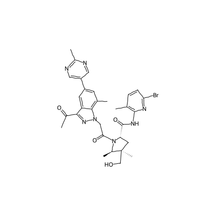 CC(=O)c1nn(CC(=O)N2[C@H](C(=O)Nc3nc(Br)ccc3C)C[C@@](C)(CO)[C@H]2C)c2c(C)cc(-c3cnc(C)nc3)cc12